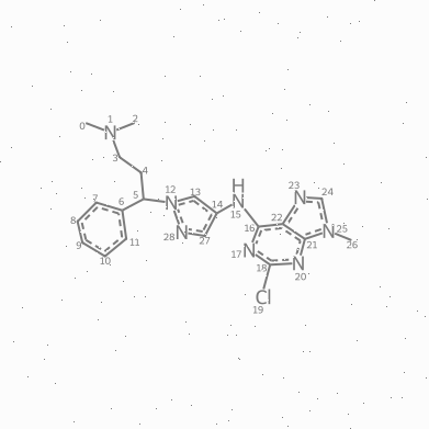 CN(C)CCC(c1ccccc1)n1cc(Nc2nc(Cl)nc3c2ncn3C)cn1